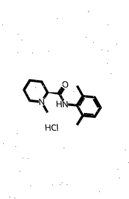 Cc1cccc(C)c1NC(=O)[C@@H]1CCCCN1C.Cl